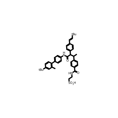 Cc1cc(C(C)(C)C)ccc1-c1ccc(NC(=O)C(c2ccc(/C=C/C(C)(C)C)cc2)C(C)c2ccc(C(=O)NCCS(=O)(=O)O)cc2)cc1